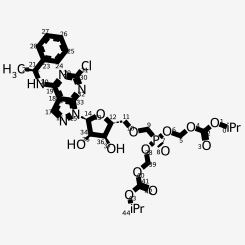 CC(C)OC(=O)OCOP(=O)(COC[C@H]1O[C@@H](n2ncc3c(N[C@@H](C)c4ccccc4)nc(Cl)nc32)[C@H](O)[C@@H]1O)OCOC(=O)OC(C)C